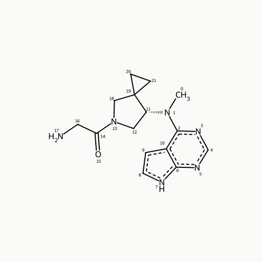 CN(c1ncnc2[nH]ccc12)[C@@H]1CN(C(=O)CN)CC12CC2